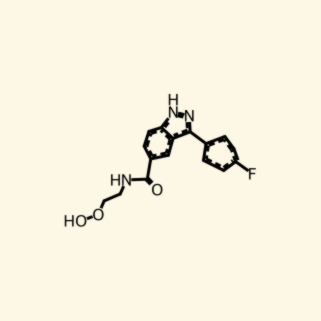 O=C(NCCOO)c1ccc2[nH]nc(-c3ccc(F)cc3)c2c1